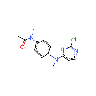 CC(=O)N(C)c1ccc(N(C)c2ccnc(Cl)n2)cc1